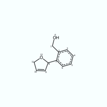 OCc1ccccc1C1C=CCO1